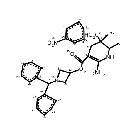 CC(C)C1(C(=O)O)C(C)NC(N)=C(C(=O)OC2CN(C(c3ccccc3)c3ccccc3)C2)[C@@H]1c1cccc([N+](=O)[O-])c1